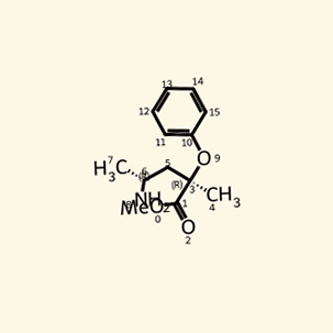 COC(=O)[C@@](C)(C[C@@H](C)N)Oc1ccccc1